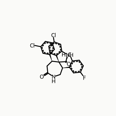 Cc1ccc(F)cc1[C@H]1CNC(=O)C[C@@H](c2cccc(Cl)c2)[C@]12C(=O)Nc1cc(Cl)ccc12